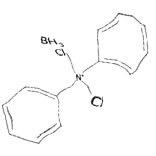 B.Cl[N+](Cl)(c1ccccc1)c1ccccc1